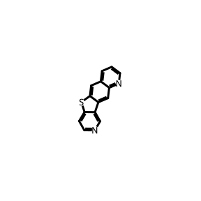 c1cnc2cc3c(cc2c1)sc1ccncc13